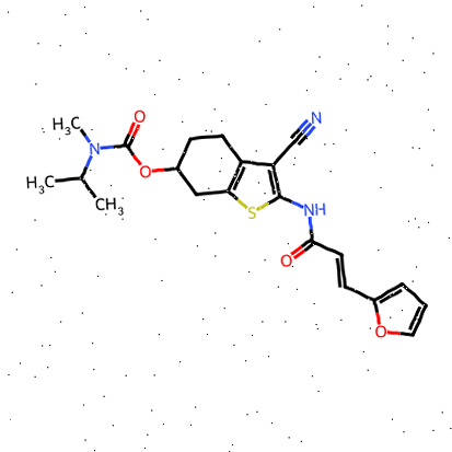 CC(C)N(C)C(=O)OC1CCc2c(sc(NC(=O)C=Cc3ccco3)c2C#N)C1